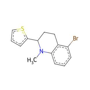 CN1c2cccc(Br)c2CCC1c1cccs1